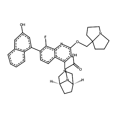 O=C(O)CN1[C@@H]2CC[C@H]1CN(c1nc(OCC34CCCN3CCC4)nc3c(F)c(-c4cc(O)cc5ccccc45)ccc13)C2